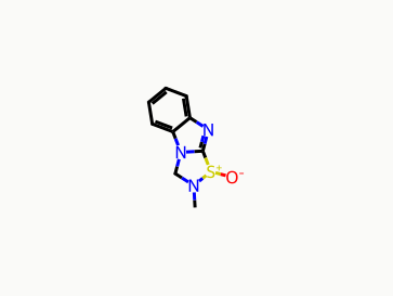 CN1Cn2c(nc3ccccc32)[S+]1[O-]